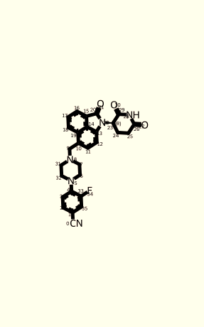 N#Cc1ccc(N2CCN(Cc3ccc4c5c(cccc35)C(=O)N4[C@@H]3CCC(=O)NC3=O)CC2)c(F)c1